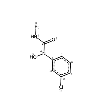 CCNC(=O)N(O)c1cccc(Cl)c1